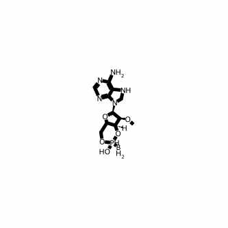 B[PH]1(O)OCC2O[C@@H](N3CNc4c(N)ncnc43)[C@@H](OC)[C@H]2O1